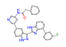 O=C(Cc1ccccc1)Nc1cncc(-c2ccc3[nH]nc(-c4nc5c(-c6cccc(F)c6)cccc5[nH]4)c3c2)c1